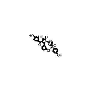 O=C(C1=C(O)C(=O)N(c2ncc(S(=O)(=O)c3ccc(O)cc3)s2)C1c1cccc(Cl)c1)c1ccc(O)cc1